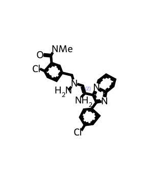 CNC(=O)c1cc(CN(N)/C=C(\N)c2c(-c3ccc(Cl)cc3)nc3ccccn23)ccc1Cl